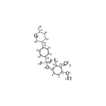 CCOc1ccc(OC(F)(F)c2ccc(C3CCC(C)OC3)cc2)c(F)c1C(F)(F)F